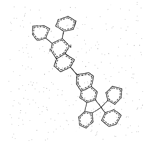 c1ccc(-c2nc3ccc(-c4ccc5cc6c(cc5c4)-c4ccccc4C6(c4ccccc4)c4ccccc4)cc3nc2-c2ccccc2)cc1